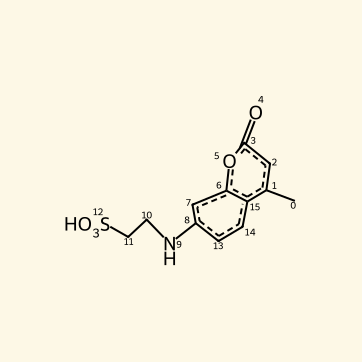 Cc1cc(=O)oc2cc(NCCS(=O)(=O)O)ccc12